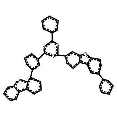 c1ccc(-c2ccc3oc4cc(-c5nc(-c6ccccc6)nc(-c6cccc(-c7cccc8c7sc7ccccc78)c6)n5)ccc4c3c2)cc1